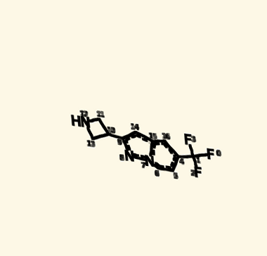 FC(F)(F)c1ccn2nc(C3CNC3)cc2c1